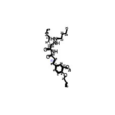 C=CCOc1ccc(/C=C/C(=O)NC(=O)[C@H](CCSC)NNCCCC)cc1OC